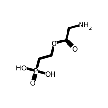 NCC(=O)OCCP(=O)(O)O